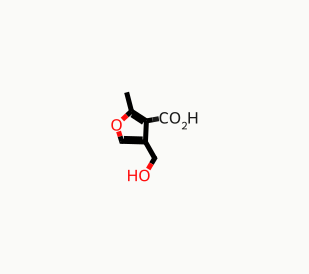 Cc1occ(CO)c1C(=O)O